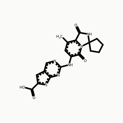 Cc1cc(Nc2ncc3cc(C(=O)O)sc3n2)c(=O)n2c1C(=O)NC21CCCC1